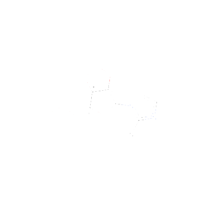 O=[N+]([O-])c1nccn1C1O[C@H](COF)[C@H]2OOO[C@@H]12